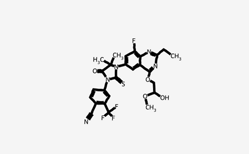 CCc1nc(OCC(O)OC)c2cc(N3C(=S)N(c4ccc(C#N)c(C(F)(F)F)c4)C(=O)C3(C)C)cc(F)c2n1